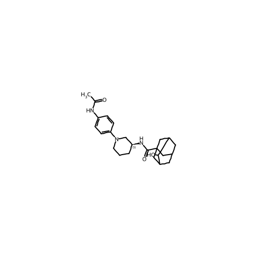 CC(=O)Nc1ccc(N2CCC[C@H](NC(=O)C34CC5CC(C3)C(O)C(C5)C4)C2)cc1